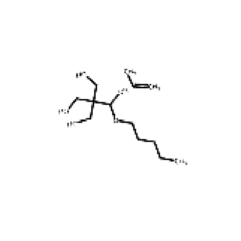 C=CC.CCCCCOC(O)C(CO)(CO)CO